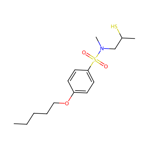 CCCCCOc1ccc(S(=O)(=O)N(C)CC(C)S)cc1